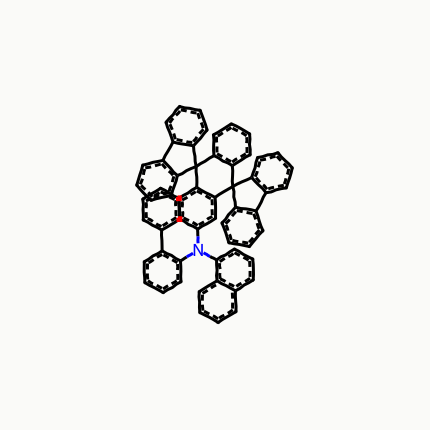 c1ccc(-c2ccccc2N(c2ccc3c(c2)C2(c4ccccc4-c4ccccc42)c2ccccc2C32c3ccccc3-c3ccccc32)c2cccc3ccccc23)cc1